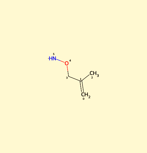 C=C(C)CO[NH]